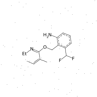 C/C=C(C)\C(=N/CC)OCc1c(N)cccc1C(F)F